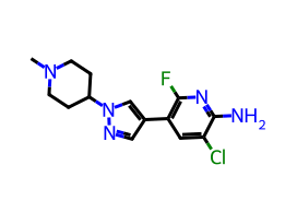 CN1CCC(n2cc(-c3cc(Cl)c(N)nc3F)cn2)CC1